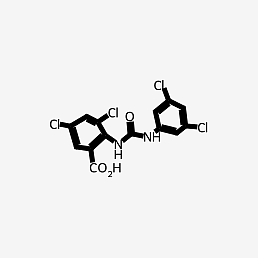 O=C(Nc1cc(Cl)cc(Cl)c1)Nc1c(Cl)cc(Cl)cc1C(=O)O